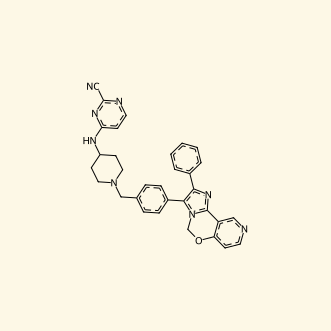 N#Cc1nccc(NC2CCN(Cc3ccc(-c4c(-c5ccccc5)nc5n4COc4ccncc4-5)cc3)CC2)n1